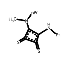 CCCN(C)c1c(NCC)c(=S)c1=S